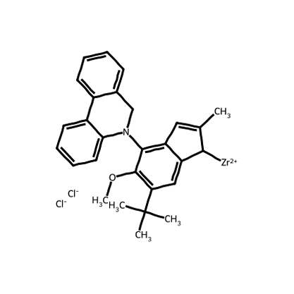 COc1c(C(C)(C)C)cc2c(c1N1Cc3ccccc3-c3ccccc31)C=C(C)[CH]2[Zr+2].[Cl-].[Cl-]